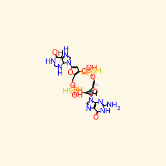 Nc1nc2c(ncn2C2=C3O[PH](O)(S)OCc4oc(N5CN[C@H]6C(=O)NCNC65)cc4O[PH](O)(S)O/C=C(/O2)[C@H]3F)c(=O)[nH]1